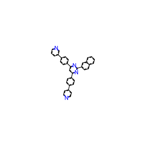 c1cncc(-c2ccc(-c3cc(-c4ccc(-c5ccncc5)cc4)nc(-c4ccc5ccccc5c4)n3)cc2)c1